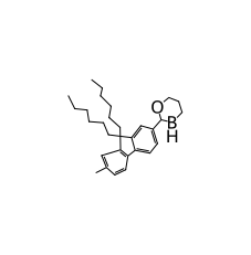 CCCCCCC1(CCCCCC)c2cc(C)ccc2-c2ccc(C3BCCCO3)cc21